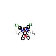 Cc1cc(C(CC2CCCCC2)C(=O)C(CC2CCCCC2)c2cc(C)n(-c3ccc(Cl)cc3)c2C)c(C)n1-c1ccc(Cl)cc1